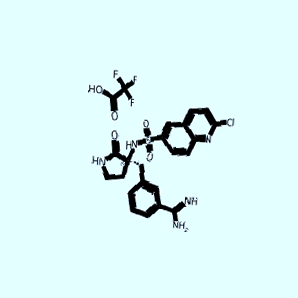 N=C(N)c1cccc(C[C@]2(NS(=O)(=O)c3ccc4nc(Cl)ccc4c3)CCNC2=O)c1.O=C(O)C(F)(F)F